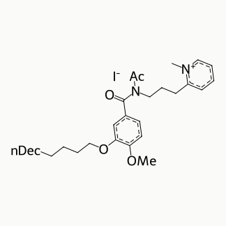 CCCCCCCCCCCCCCOc1cc(C(=O)N(CCCc2cccc[n+]2C)C(C)=O)ccc1OC.[I-]